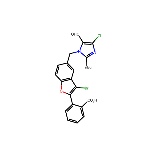 CCCCc1nc(Cl)c(C=O)n1Cc1ccc2oc(-c3ccccc3C(=O)O)c(Br)c2c1